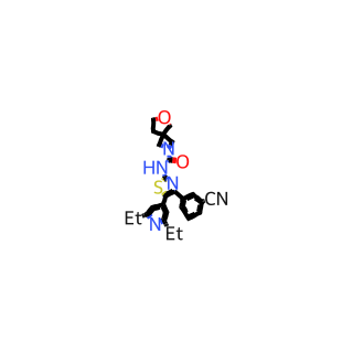 CCc1cc(-c2sc(NC(=O)N3CC4(CCOC4)C3)nc2-c2cccc(C#N)c2)cc(CC)n1